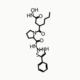 CCCCC(CC(=O)NO)C(=O)N1CCCC1C(=O)NN1NC=C(c2ccccc2)S1